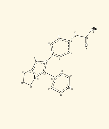 CC(C)(C)C(=O)Sc1ccc(-c2nc3n(c2-c2ccncc2)CCC3)cc1